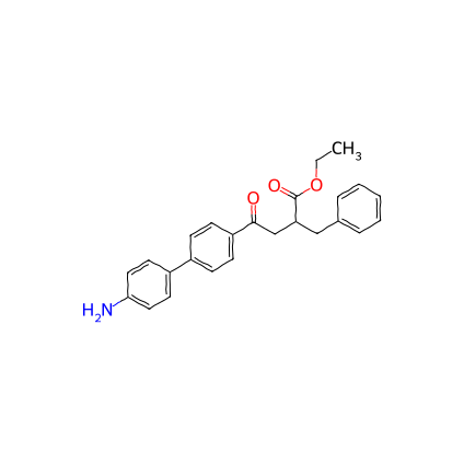 CCOC(=O)C(CC(=O)c1ccc(-c2ccc(N)cc2)cc1)Cc1ccccc1